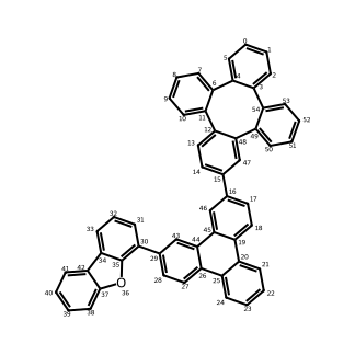 c1ccc2c(c1)-c1ccccc1-c1ccc(-c3ccc4c5ccccc5c5ccc(-c6cccc7c6oc6ccccc67)cc5c4c3)cc1-c1ccccc1-2